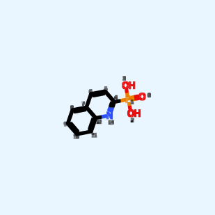 O=P(O)(O)c1ccc2ccccc2n1